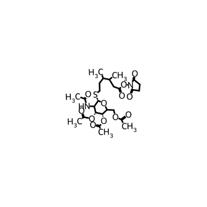 CC(=O)NC1[C@@H](SCCC(C)C(C)CC(=O)ON2C(=O)CCC2=O)OC(COC(C)=O)[C@H](OC(C)=O)[C@@H]1OC(C)=O